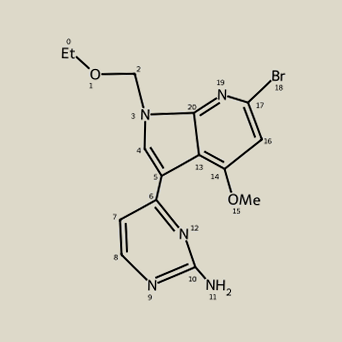 CCOCn1cc(-c2ccnc(N)n2)c2c(OC)cc(Br)nc21